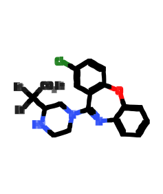 CCOC(=O)C(CC)(CC)C1CN(C2=Nc3ccccc3Oc3ccc(Cl)cc32)CCN1